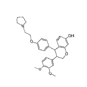 COc1ccc(C2COc3cc(O)ccc3C2c2ccc(OCCN3CCCC3)cc2)cc1OC